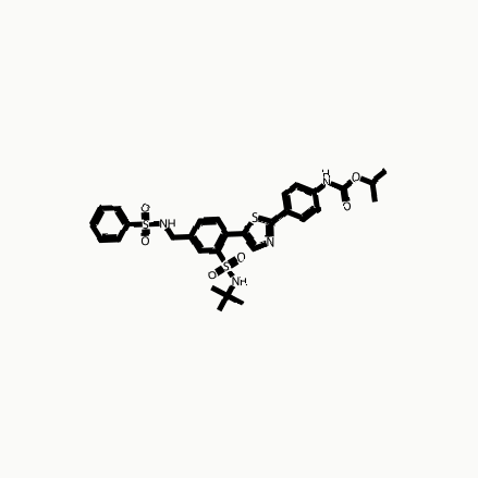 CC(C)OC(=O)Nc1ccc(-c2ncc(-c3ccc(CNS(=O)(=O)c4ccccc4)cc3S(=O)(=O)NC(C)(C)C)s2)cc1